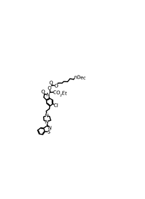 CCCCCCCCCCCCCCCCOC(=O)OC(C(=O)OCC)N1C(=O)Cc2cc(CCN3CCN(c4nsc5ccccc45)CC3)c(Cl)cc21